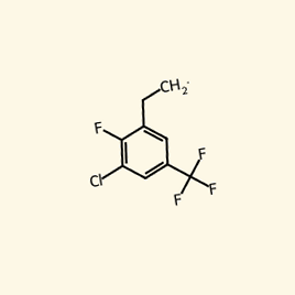 [CH2]Cc1cc(C(F)(F)F)cc(Cl)c1F